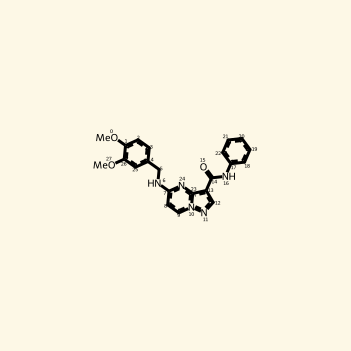 COc1ccc(CNc2ccn3ncc(C(=O)Nc4ccccc4)c3n2)cc1OC